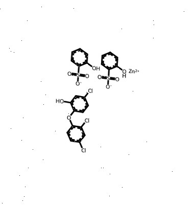 O=S(=O)([O-])c1ccccc1O.O=S(=O)([O-])c1ccccc1O.Oc1cc(Cl)ccc1Oc1ccc(Cl)cc1Cl.[Zn+2]